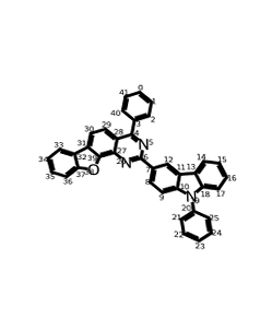 c1ccc(-c2nc(-c3ccc4c(c3)c3ccccc3n4-c3ccccc3)nc3c2ccc2c4ccccc4oc23)cc1